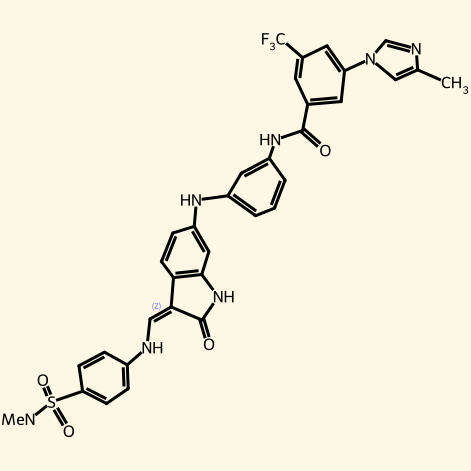 CNS(=O)(=O)c1ccc(N/C=C2\C(=O)Nc3cc(Nc4cccc(NC(=O)c5cc(-n6cnc(C)c6)cc(C(F)(F)F)c5)c4)ccc32)cc1